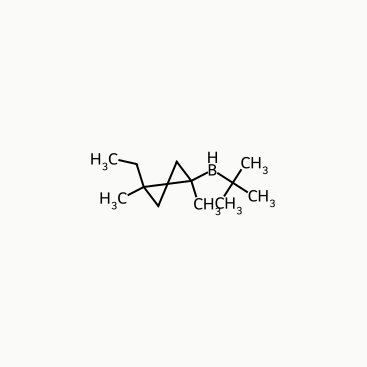 CCC1(C)CC12CC2(C)BC(C)(C)C